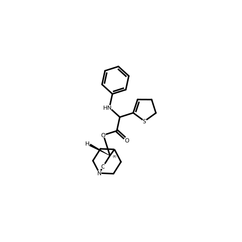 O=C(O[C@H]1CN2CCC1CC2)C(Nc1ccccc1)C1=CCCS1